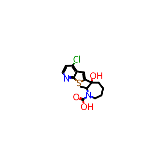 CC1N(C(=O)O)CCCCC1(O)c1cc2c(Cl)ccnc2s1